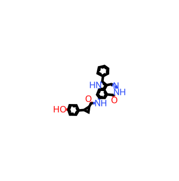 O=C1NN=Cc2c(-c3ccccc3)[nH]c3cc(NC(=O)C4CC4c4ccc(O)cc4)cc1c23